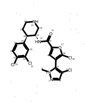 Cn1ncc(Cl)c1-c1cc(C(=O)N[C@H]2CNCC[C@@H]2c2ccc(Cl)c(Cl)c2)oc1Cl